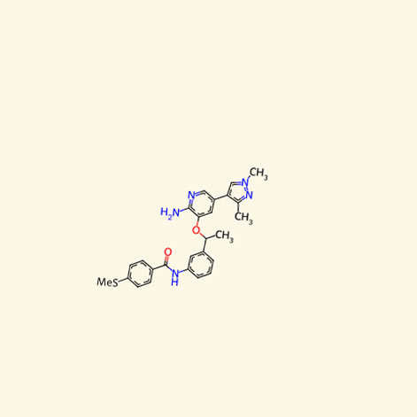 CSc1ccc(C(=O)Nc2cccc(C(C)Oc3cc(-c4cn(C)nc4C)cnc3N)c2)cc1